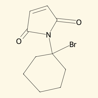 O=C1C=CC(=O)N1C1(Br)CCCCC1